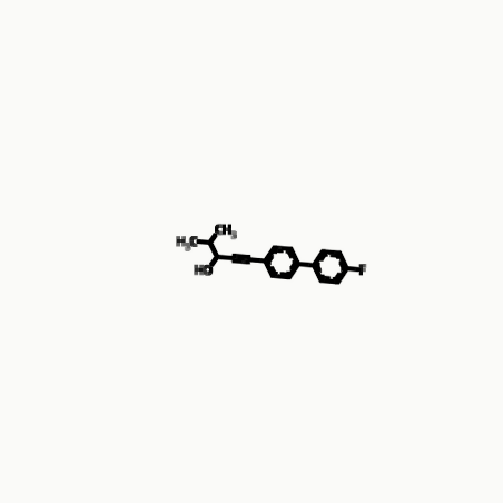 CC(C)C(O)C#Cc1ccc(-c2ccc(F)cc2)cc1